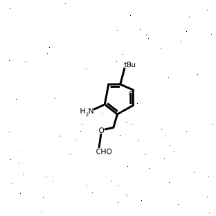 CC(C)(C)c1ccc(COC=O)c(N)c1